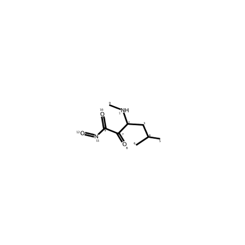 CNC(CC(C)C)C(=O)C(=O)N=O